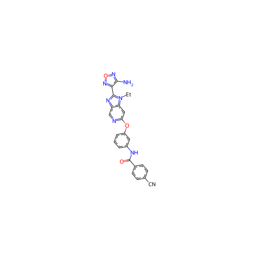 CCn1c(-c2nonc2N)nc2cnc(Oc3cccc(NC(=O)c4ccc(C#N)cc4)c3)cc21